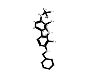 Fc1c(OCC2CCCCC2)ccc2c1oc1c(F)c(OC(F)(F)F)ccc12